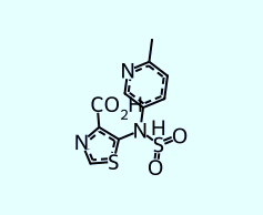 Cc1ccc(N(c2scnc2C(=O)O)[SH](=O)=O)cn1